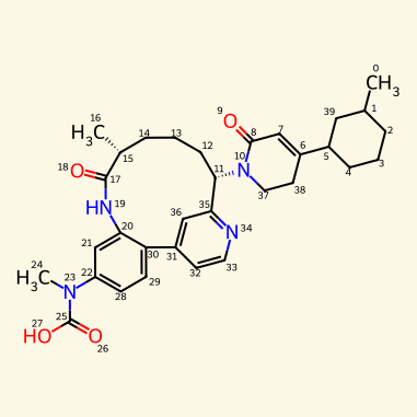 CC1CCCC(C2=CC(=O)N([C@H]3CCC[C@@H](C)C(=O)Nc4cc(N(C)C(=O)O)ccc4-c4ccnc3c4)CC2)C1